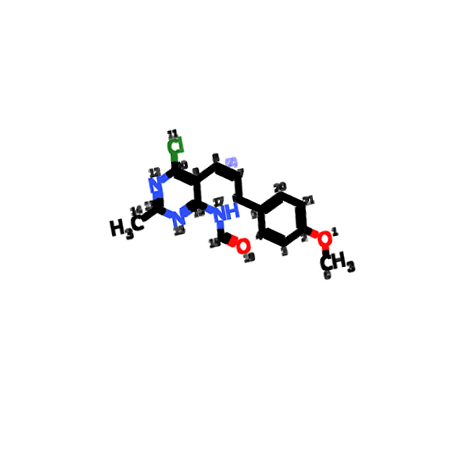 COc1ccc(C/C=C\c2c(Cl)nc(C)nc2NC=O)cc1